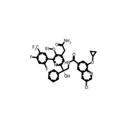 CCOc1c(CC(N)=O)cc([C@@](O)(CNC(=O)c2cc(OC3CC3)c3ncc(Cl)cc3c2)c2ccccc2)nc1-c1cc(C(F)(F)F)c(F)cc1F